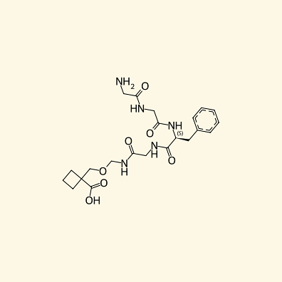 NCC(=O)NCC(=O)N[C@@H](Cc1ccccc1)C(=O)NCC(=O)NCOCC1(C(=O)O)CCC1